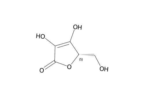 O=C1O[C@@H](CO)C(O)=C1O